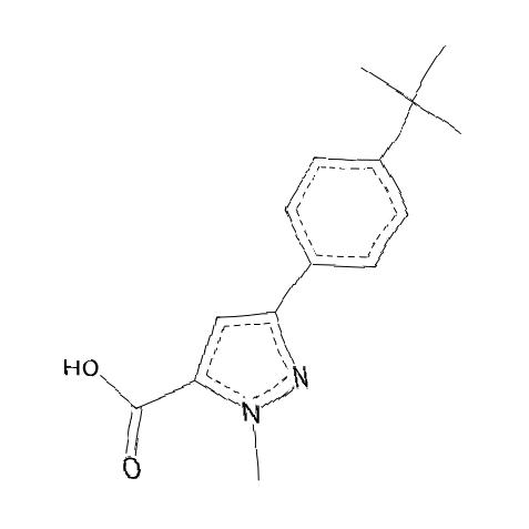 Cn1nc(-c2ccc(C(C)(C)C)cc2)cc1C(=O)O